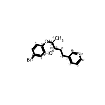 C[C@H](Oc1ccc(Br)cc1)[C@@H](O)CCc1cccnc1